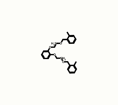 Cc1ccccc1CO[SiH2]COc1ccccc1OC[SiH2]OCc1ccccc1C